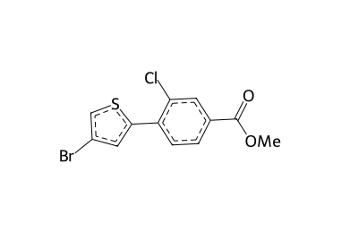 COC(=O)c1ccc(-c2cc(Br)cs2)c(Cl)c1